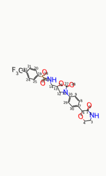 O=C1NCCOC1c1ccc(N2CC(CNS(=O)(=O)c3ccc(C(F)(F)F)cc3)OC2=O)cc1